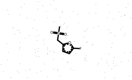 [CH2]S(=O)(=O)Cc1ccc(F)o1